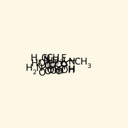 CCNCc1cc(O)c2c(c1F)C[C@H]1C[C@H]3[C@H](N(C)C)C(O)=C(C(N)=O)C(=O)[C@@]3(O)C(O)=C1C2=O